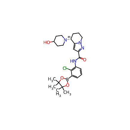 CC1(C)OB(c2cccc(NC(=O)c3cc4n(n3)CCC[C@H]4N3CCC(O)CC3)c2Cl)OC1(C)C